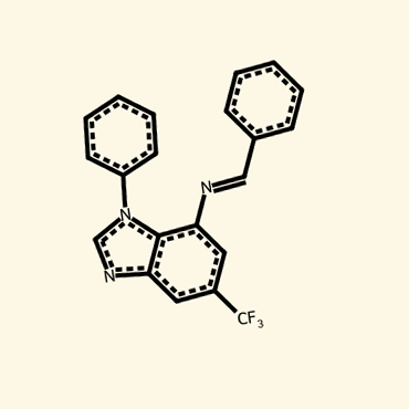 FC(F)(F)c1cc(N=Cc2ccccc2)c2c(c1)ncn2-c1ccccc1